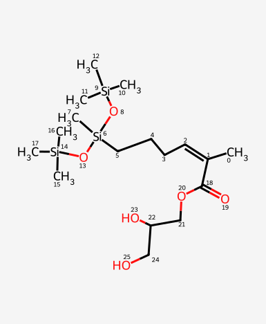 CC(=CCCC[Si](C)(O[Si](C)(C)C)O[Si](C)(C)C)C(=O)OCC(O)CO